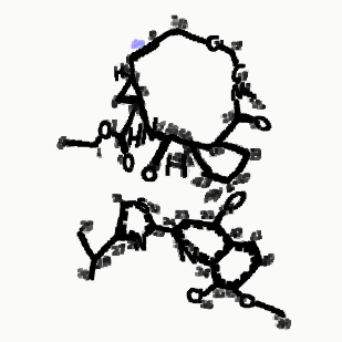 CCOC(=O)[C@@]12C[C@H]1/C=C\CCCCN(C)C(=O)C1C[C@H](Oc3cc(-c4nc(C(C)C)cs4)nc4c(Cl)c(OC)ccc34)C[C@H]1C(=O)N2